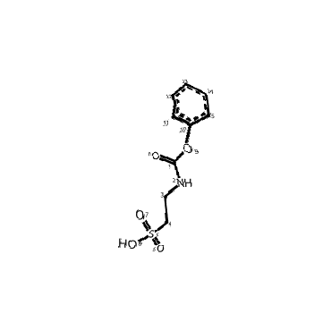 O=C(NCCS(=O)(=O)O)Oc1ccccc1